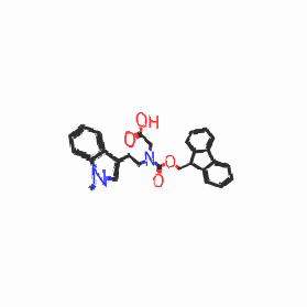 Cn1cc(CCN(CC(=O)O)C(=O)OCC2c3ccccc3-c3ccccc32)c2ccccc21